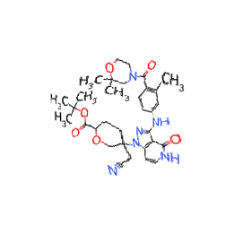 Cc1cc(Nc2nn(C3(CC#N)CCC(C(=O)OC(C)(C)C)OC3)c3cc[nH]c(=O)c23)ccc1C(=O)N1CCOC(C)(C)C1